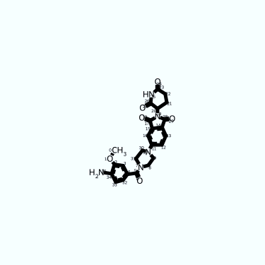 COc1cc(C(=O)N2CCN(c3ccc4c(c3)C(=O)N(C3CCC(=O)NC3=O)C4=O)CC2)ccc1N